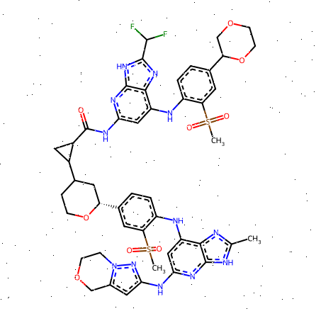 Cc1nc2c(Nc3ccc([C@H]4CC(C5CC5C(=O)Nc5cc(Nc6ccc(C7COCCO7)cc6S(C)(=O)=O)c6nc(C(F)F)[nH]c6n5)CCO4)cc3S(C)(=O)=O)cc(Nc3cc4n(n3)CCOC4)nc2[nH]1